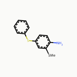 CSc1cc(Sc2ccccc2)ccc1N